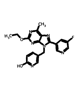 CCOc1nc(C)c2nc(-c3cncc(F)c3)n(Cc3ccc(O)nc3)c2n1